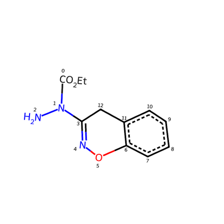 CCOC(=O)N(N)C1=NOc2ccccc2C1